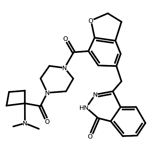 CN(C)C1(C(=O)N2CCN(C(=O)c3cc(Cc4n[nH]c(=O)c5ccccc45)cc4c3OCC4)CC2)CCC1